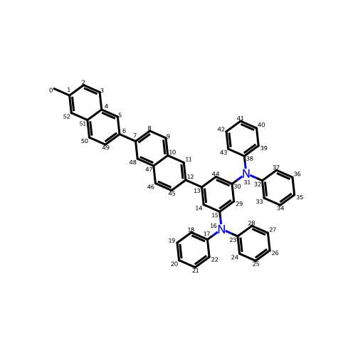 Cc1ccc2cc(-c3ccc4cc(-c5cc(N(c6ccccc6)c6ccccc6)cc(N(c6ccccc6)c6ccccc6)c5)ccc4c3)ccc2c1